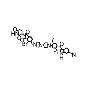 CCc1cc2c(cc1N1CCC(N3CCN(Cc4ccc5c(c4Br)C(=O)N(C4CCC(=O)NC4=O)C5=O)CC3)CC1)C(C)(C)c1[nH]c3cc(C#N)ccc3c1C2=O